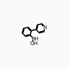 OBc1ccccc1-c1ccncc1